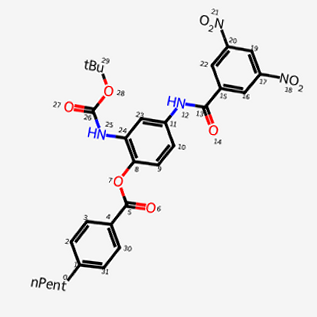 CCCCCc1ccc(C(=O)Oc2ccc(NC(=O)c3cc([N+](=O)[O-])cc([N+](=O)[O-])c3)cc2NC(=O)OC(C)(C)C)cc1